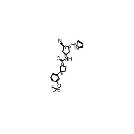 N#CN1C[C@H](NC(=O)N2CC[C@@H](c3cccc(OC(F)(F)F)c3)C2)C[C@H]1Cn1cccn1